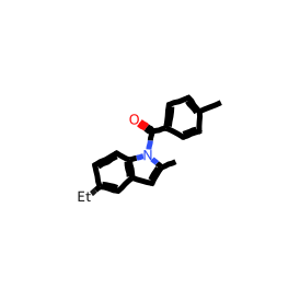 CCc1ccc2c(c1)cc(C)n2C(=O)c1ccc(C)cc1